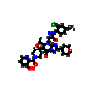 C[C@@H]1OC2(CCN(C(=O)c3ncccc3O)CC2)c2c1n(CC(=O)Nc1ccc(C(F)(F)F)cc1Cl)c1nc(C3=CCOCC3)nn1c2=O